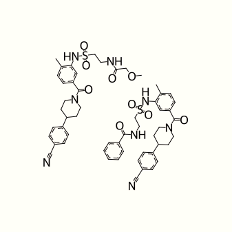 COCC(=O)NCCS(=O)(=O)Nc1cc(C(=O)N2CCC(c3ccc(C#N)cc3)CC2)ccc1C.Cc1ccc(C(=O)N2CCC(c3ccc(C#N)cc3)CC2)cc1NS(=O)(=O)CCNC(=O)c1ccccc1